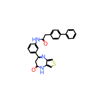 O=C(Cc1ccc(-c2ccccc2)cc1)Nc1cccc(C2=Nc3cscc3NC(=O)C2)c1